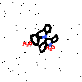 O.O.c1ccc2nc3ccccc3cc2c1.c1ccc2nc3ccccc3cc2c1